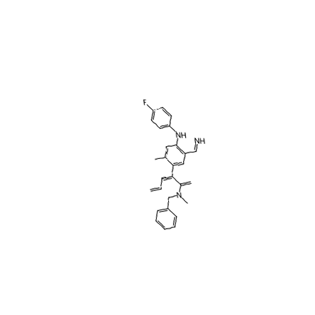 C=C/C=C(\C(=C)N(C)Cc1ccccc1)c1cc(C=N)c(Nc2ccc(F)cc2)cc1C